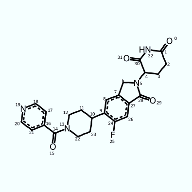 O=C1CCC(N2Cc3cc(C4CCN(C(=O)c5ccncc5)CC4)c(F)cc3C2=O)C(=O)N1